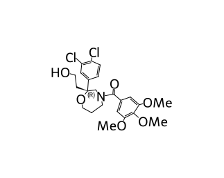 COc1cc(C(=O)N2CCCO[C@](CCO)(c3ccc(Cl)c(Cl)c3)C2)cc(OC)c1OC